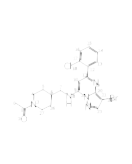 CC(=O)N1CCC(CNc2cc(-c3ccccc3Cl)nc3c(Br)cnn23)CC1